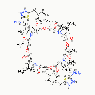 CC(C)C[C@H]1C(=O)O[C@H](Cc2ccc(Cc3nnc(N)s3)cc2)C(=O)N(C)[C@@H](CC(C)C)C(=O)O[C@H](C)C(=O)N(C)[C@@H](CC(C)C)C(=O)O[C@H](Cc2ccc(Cc3nnc(N)s3)cc2)C(=O)N(C)[C@@H](CC(C)C)C(=O)O[C@H](C)C(=O)N1C